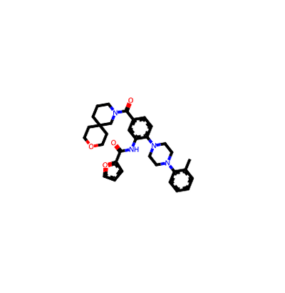 Cc1ccccc1N1CCN(c2ccc(C(=O)N3CCCC4(CCOCC4)C3)cc2NC(=O)c2ccco2)CC1